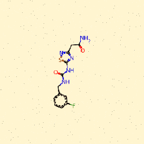 NC(=O)Cc1nsc(NC(=O)NCc2cccc(F)c2)n1